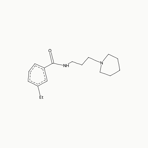 CCc1cccc(C(=O)NCCCN2CCCCC2)c1